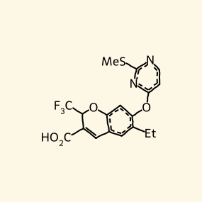 CCc1cc2c(cc1Oc1ccnc(SC)n1)OC(C(F)(F)F)C(C(=O)O)=C2